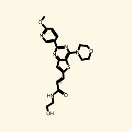 COc1ccc(-c2nc(N3CCOCC3)c3sc(/C=C/C(=O)NCCO)cc3n2)cn1